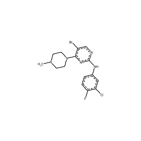 CN1CCN(c2nc(Nc3ccc(F)c(Cl)c3)ncc2Br)CC1